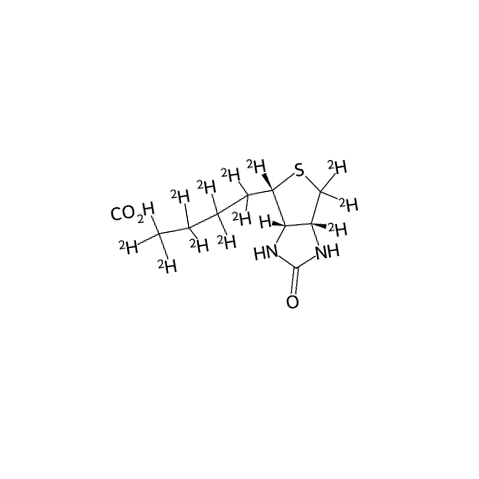 [2H]C([2H])(C(=O)O)C([2H])([2H])C([2H])([2H])C([2H])([2H])[C@]1([2H])SC([2H])([2H])[C@]2([2H])NC(=O)N[C@@H]21